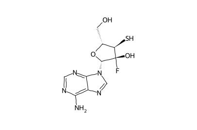 Nc1ncnc2c1ncn2[C@@H]1O[C@H](CO)[C@@H](S)[C@]1(O)F